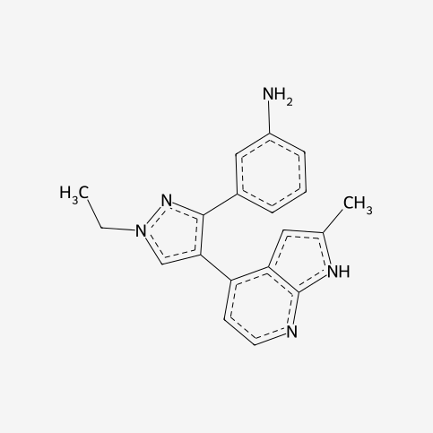 CCn1cc(-c2ccnc3[nH]c(C)cc23)c(-c2cccc(N)c2)n1